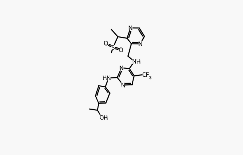 CC(O)c1ccc(Nc2ncc(C(F)(F)F)c(NCc3nccnc3C(C)S(C)(=O)=O)n2)cc1